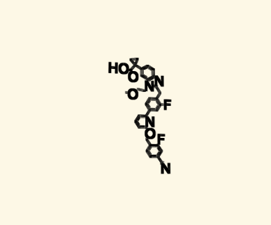 COCCn1c(Cc2ccc(-c3cccc(OCc4ccc(C#N)cc4F)n3)cc2F)nc2ccc(C3(C(=O)O)CC3)cc21